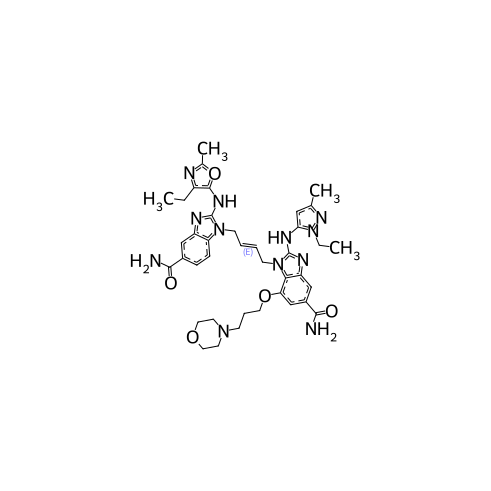 CCc1nc(C)oc1Nc1nc2cc(C(N)=O)ccc2n1C/C=C/Cn1c(Nc2cc(C)nn2CC)nc2cc(C(N)=O)cc(OCCCN3CCOCC3)c21